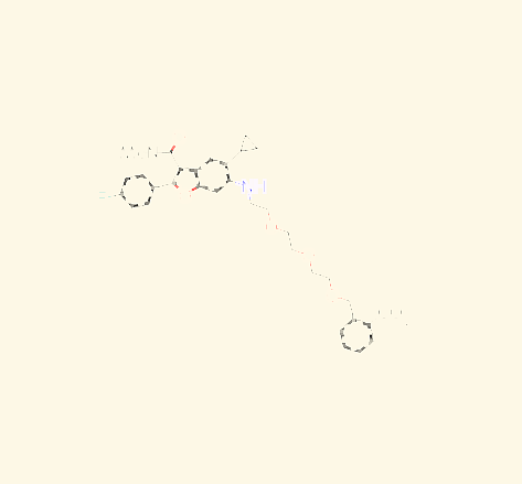 CNC(=O)c1c(-c2ccc(F)cc2)oc2cc(NCCOCCOCCOCc3ccccc3C(=O)O)c(C3CC3)cc12